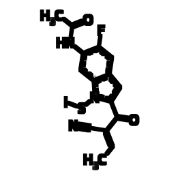 C/C=C(\C#N)C(=O)c1cc2cc(F)c(NC(C)=O)cc2n1SI